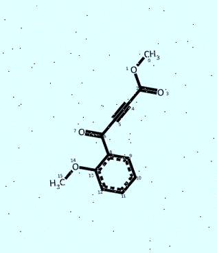 COC(=O)C#CC(=O)c1ccccc1OC